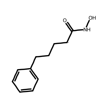 O=C([CH]CCCc1ccccc1)NO